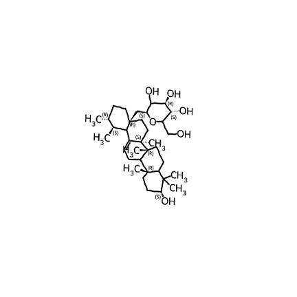 C[C@@H]1CC[C@]2(C[C@@H]3OC(CO)[C@@H](O)[C@H](O)C3O)CC[C@]3(C)C(=CCC4[C@@]5(C)CC[C@H](O)C(C)(C)C5CC[C@]43C)C2[C@H]1C